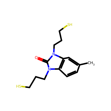 Cc1ccc2c(c1)n(CCCS)c(=O)n2CCCS